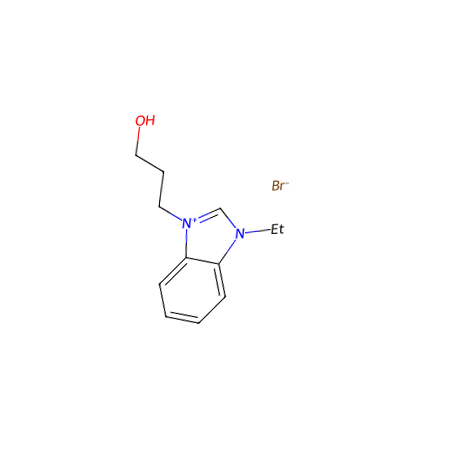 CCn1c[n+](CCCO)c2ccccc21.[Br-]